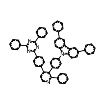 c1ccc(-c2ccc3c(c2)c2cc(-c4ccccc4)ccc2n3-c2ccc(-c3c(-c4ccc(-c5nc(-c6ccccc6)nc(-c6ccccc6)n5)cc4)ccnc3-c3ccccc3)cc2)cc1